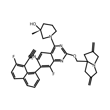 C#Cc1c(F)ccc2cccc(-c3c([N+](=O)[O-])cc4c(N5CCC[C@@](C)(O)C5)nc(OCC56CC(=C)CN5CC(=C)C6)nc4c3F)c12